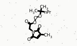 CCCC(C)(C)OOOC(=O)CN1C(=O)C=C(C)C1=O